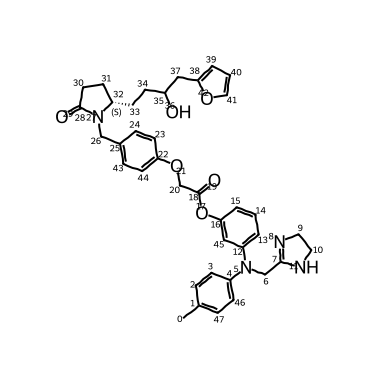 Cc1ccc(N(CC2=NCCN2)c2cccc(OC(=O)COc3ccc(CN4C(=O)CC[C@@H]4CCC(O)Cc4ccco4)cc3)c2)cc1